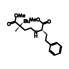 CC[C@@H](C)[C@@](C)(CCN[C@@H](CCc1ccccc1)C(=O)OC)C(=O)OC